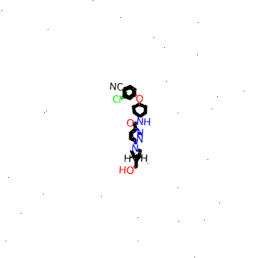 N#Cc1ccc(OC2CCC(NC(=O)c3ccc(N4C[C@@H]5C(CO)[C@@H]5C4)nn3)CC2)cc1Cl